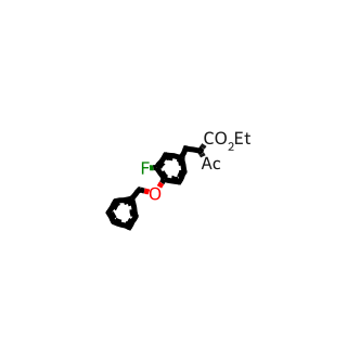 CCOC(=O)C(Cc1ccc(OCc2ccccc2)c(F)c1)C(C)=O